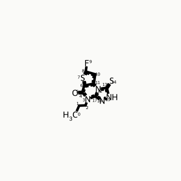 CCCn1c(=O)c2sc(F)cc2n2c(=S)[nH]nc12